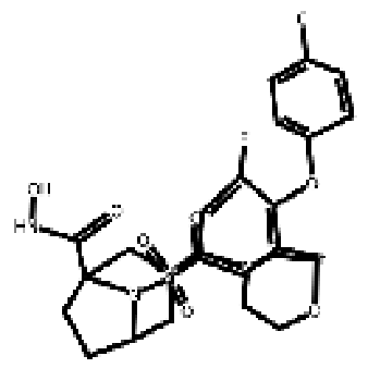 O=C(N1CCOCC1)N1CC2CCC(C(=O)NO)(C1)N2S(=O)(=O)c1cc(F)c(Oc2ccc(Cl)cc2)c(F)c1